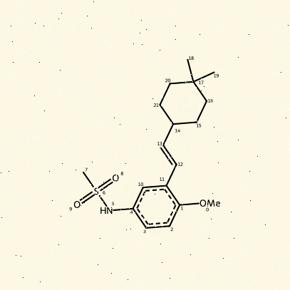 COc1ccc(NS(C)(=O)=O)cc1/C=C/C1CCC(C)(C)CC1